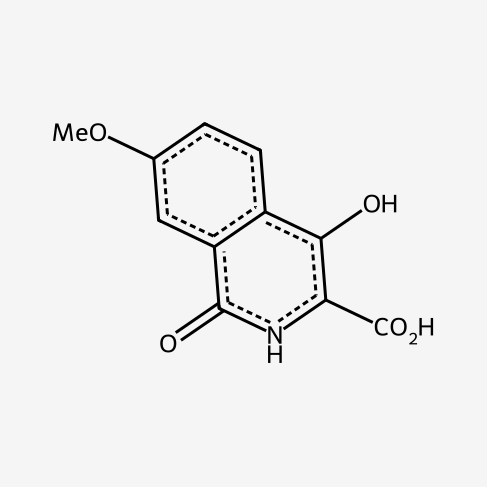 COc1ccc2c(O)c(C(=O)O)[nH]c(=O)c2c1